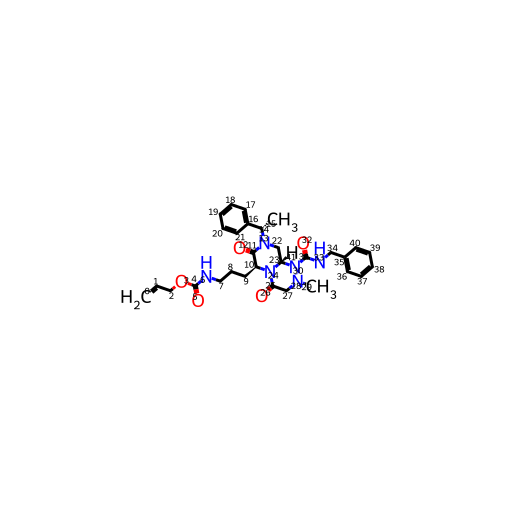 C=CCOC(=O)NCCC[C@H]1C(=O)N([C@@H](C)c2ccccc2)C[C@H]2N1C(=O)CN(C)N2C(=O)NCc1ccccc1